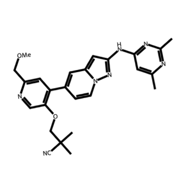 COCc1cc(-c2ccn3nc(Nc4cc(C)nc(C)n4)cc3c2)c(OCC(C)(C)C#N)cn1